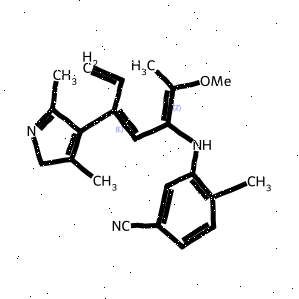 C=C/C(=C\C(Nc1cc(C#N)ccc1C)=C(/C)OC)C1=C(C)CN=C1C